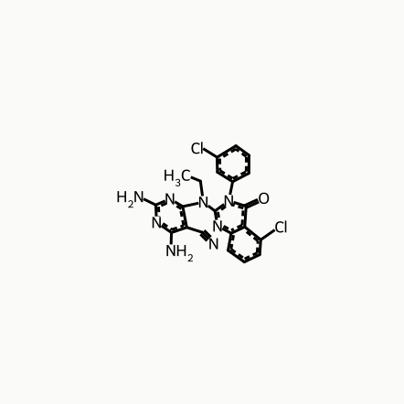 CCN(c1nc(N)nc(N)c1C#N)c1nc2cccc(Cl)c2c(=O)n1-c1cccc(Cl)c1